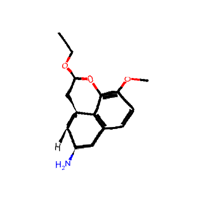 CCOC1C[C@]23C=CCC[C@H]2[C@H](N)Cc2ccc(OC)c(c23)O1